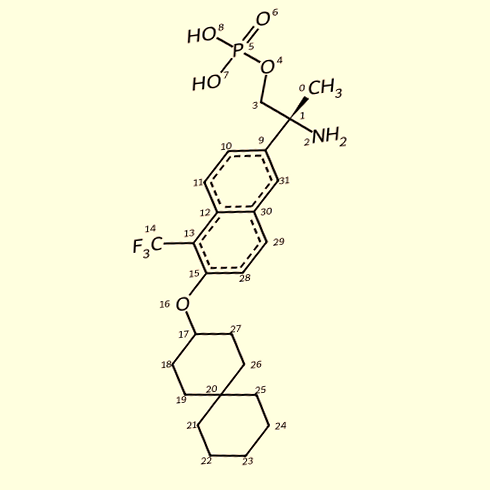 C[C@](N)(COP(=O)(O)O)c1ccc2c(C(F)(F)F)c(OC3CCC4(CCCCC4)CC3)ccc2c1